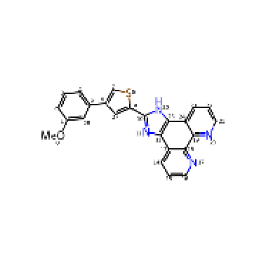 COc1cccc(-c2csc(-c3nc4c5cccnc5c5ncccc5c4[nH]3)c2)c1